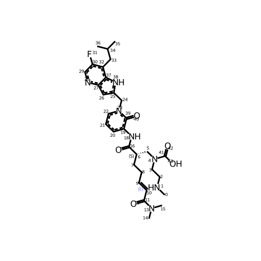 CNCCN(C[C@H](CC/C=C/C(=O)N(C)C)C(=O)Nc1cccn(Cc2cc3ncc(F)c(CC(C)C)c3[nH]2)c1=O)C(=O)O